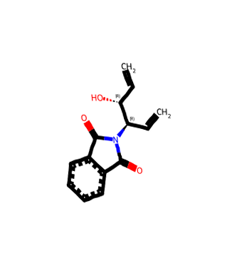 C=C[C@@H](O)[C@@H](C=C)N1C(=O)c2ccccc2C1=O